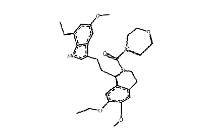 CCOc1cc2c(cc1OC)CCN(C(=O)N1CCOCC1)C2CCc1c[nH]c2c(CC)cc(OC)cc12